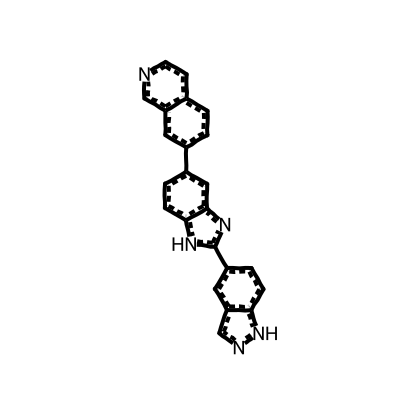 c1cc2ccc(-c3ccc4[nH]c(-c5ccc6[nH]ncc6c5)nc4c3)cc2cn1